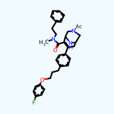 CC(=O)N1CC2CC(c3ccc(CCCOc4ccc(F)cc4)cc3)=C(C(=O)N(C)CCc3ccccc3)C(C1)N2